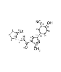 CCN1CCC[C@H]1CNC(=O)c1sc(-c2ccc(O)c(C#N)c2)nc1C